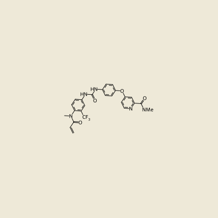 C=CC(=O)N(C)c1ccc(NC(=O)Nc2ccc(Oc3ccnc(C(=O)NC)c3)cc2)cc1C(F)(F)F